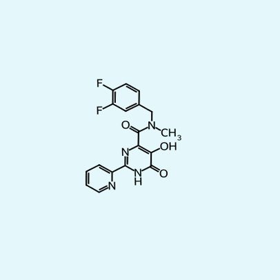 CN(Cc1ccc(F)c(F)c1)C(=O)c1nc(-c2ccccn2)[nH]c(=O)c1O